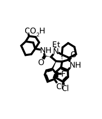 CCN1[C@@H](C(=O)NC23CCCC(C2)C(C(=O)O)CC3)[C@H](c2cccc(Cl)c2F)[C@]2(C(=O)Nc3cc(Cl)ccc32)C12CCCCC2